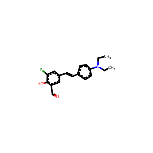 CCN(CC)c1ccc(C=Cc2cc(F)c(O)c(C=O)c2)cc1